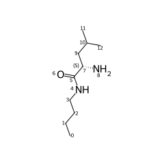 CCCCNC(=O)[C@@H](N)CC(C)C